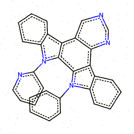 c1ccc(-n2c3ccccc3c3c4ncncc4c4c5ccccc5n(-c5ccccn5)c4c32)cc1